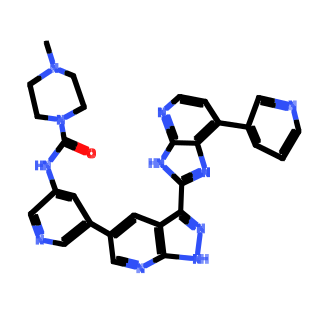 CN1CCN(C(=O)Nc2cncc(-c3cnc4[nH]nc(-c5nc6c(-c7cccnc7)ccnc6[nH]5)c4c3)c2)CC1